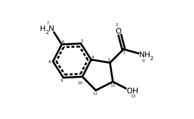 NC(=O)C1c2cc(N)ccc2CC1O